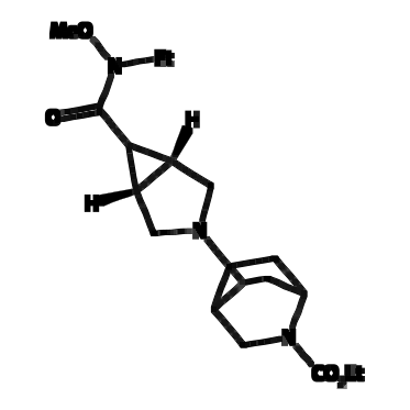 CCOC(=O)N1CC2CCC1CC2N1C[C@@H]2C(C(=O)N(CC)OC)[C@@H]2C1